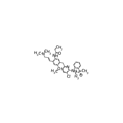 C=CC(=O)Nc1cc(Cc2ncc(Cl)c(Nc3ccccc3P(C)(C)=O)n2)c(OC)cc1/C=C/CN(C)C